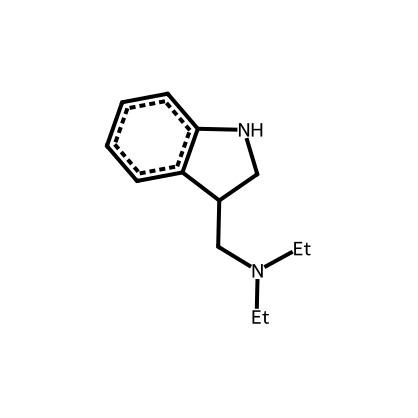 CCN(CC)CC1CNc2ccccc21